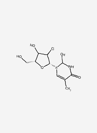 CC1=CN([C@@H]2O[C@H](CO)C(O)C2Cl)C(O)NC1=O